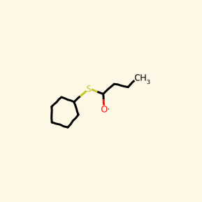 CCCC([O])SC1CCCCC1